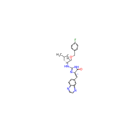 CC(C)C[C@H](COCc1ccc(F)cc1)NC1=N/C(=C\c2ccc3nccnc3c2)C(=O)N1